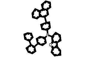 c1ccc(-c2ccccc2-c2ccc(N(c3ccc(-c4cc5ccccc5c5ccccc45)cc3)c3cccc4c3oc3ccccc34)cc2)cc1